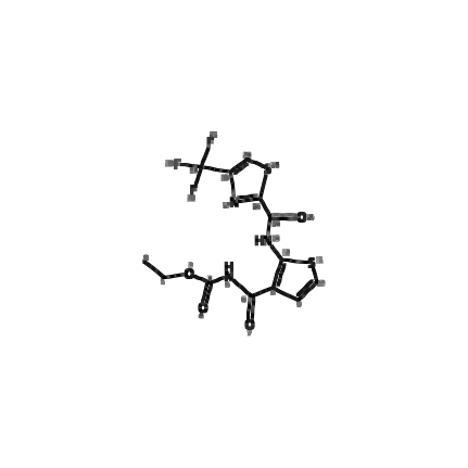 CCOC(=O)NC(=O)c1ccsc1NC(=O)c1nc(C(F)(F)F)cs1